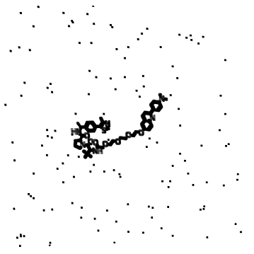 Cc1ncsc1-c1ccc([C@H](C)NC(=O)[C@@H]2CCCN2C(=O)C(NC(=O)COCCOCCOCCOc2ccc3nc(-c4ccc(N(C)C)cc4)ccc3c2)C(C)(C)C)cc1